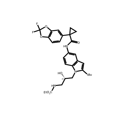 CCOC(=O)NC[C@H](O)Cn1c(C(C)(C)C)cc2cc(NC(=O)C3(c4ccc5c(c4)OC(F)(F)O5)CC3)ccc21